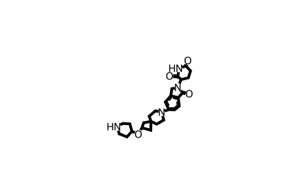 O=C1CCC(N2Cc3cc(N4CCC5(CC4)CC(OC4CCNCC4)C5)ccc3C2=O)C(=O)N1